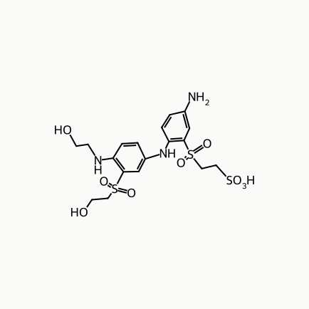 Nc1ccc(Nc2ccc(NCCO)c(S(=O)(=O)CCO)c2)c(S(=O)(=O)CCS(=O)(=O)O)c1